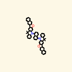 CC1(C)c2ccccc2N(c2cccc3c(N4c5ccccc5C(C)(C)c5cc6c(cc54)oc4cc5ccccc5cc46)cccc23)c2cc3oc4cc5ccccc5cc4c3cc21